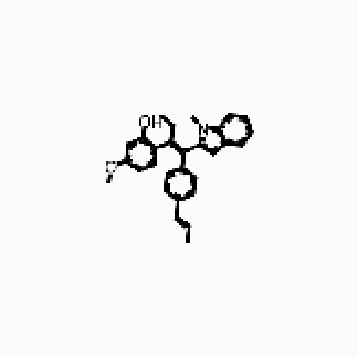 C/C=C/c1ccc(/C(=C(/CC)c2ccc(OC)cc2O)c2cc3ccccc3n2C)cc1